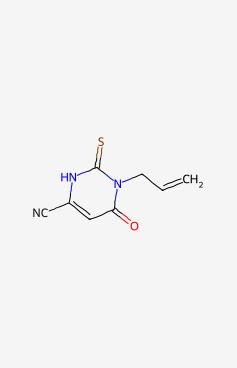 C=CCn1c(=O)cc(C#N)[nH]c1=S